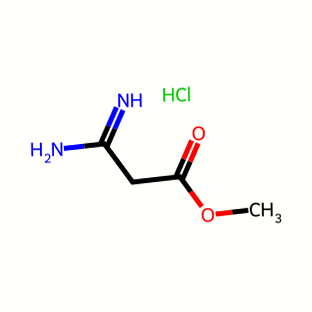 COC(=O)CC(=N)N.Cl